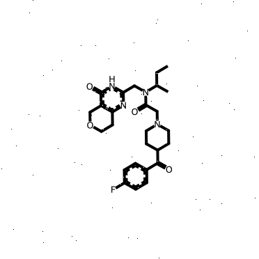 CCC(C)N(Cc1nc2c(c(=O)[nH]1)COCC2)C(=O)CN1CCC(C(=O)c2ccc(F)cc2)CC1